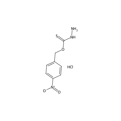 Cl.NNC(=S)OCc1ccc([N+](=O)[O-])cc1